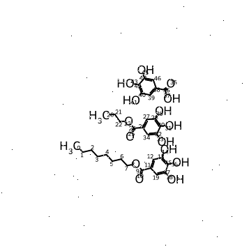 CCCCCCCCOC(=O)c1cc(O)c(O)c(O)c1.CCCOC(=O)c1cc(O)c(O)c(O)c1.O=C(O)c1cc(O)c(O)c(O)c1